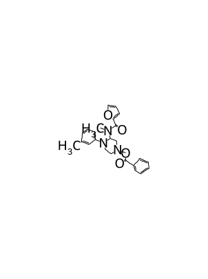 Cc1cccc(N2CCN(OC(=O)c3ccccc3)CC2N(C)C(=O)c2ccco2)c1